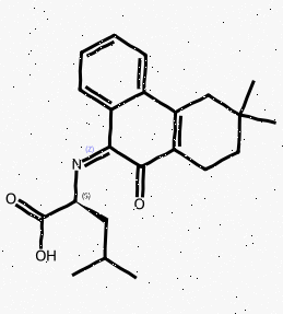 CC(C)C[C@H](/N=C1\C(=O)C2=C(CC(C)(C)CC2)c2ccccc21)C(=O)O